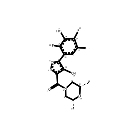 C[C@@H]1CN(C(=O)c2noc(-c3cc(F)c(F)c(O)c3F)c2C#N)C[C@H](C)O1